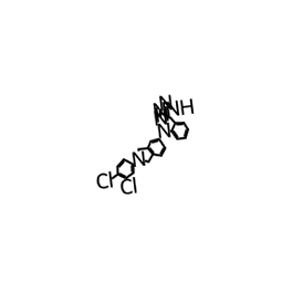 Clc1ccc(N2Cc3ccc(Nc4ccccc4-c4nnn[nH]4)cc3C2)cc1Cl